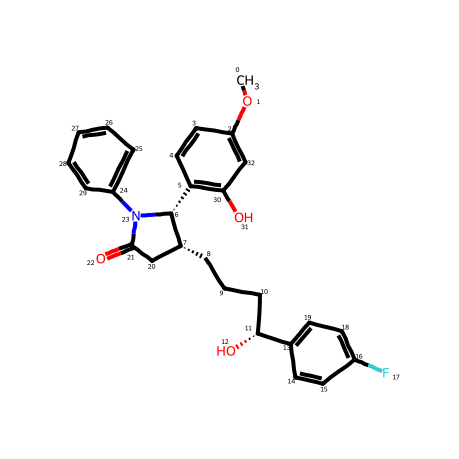 COc1ccc([C@@H]2[C@H](CCC[C@@H](O)c3ccc(F)cc3)CC(=O)N2c2ccccc2)c(O)c1